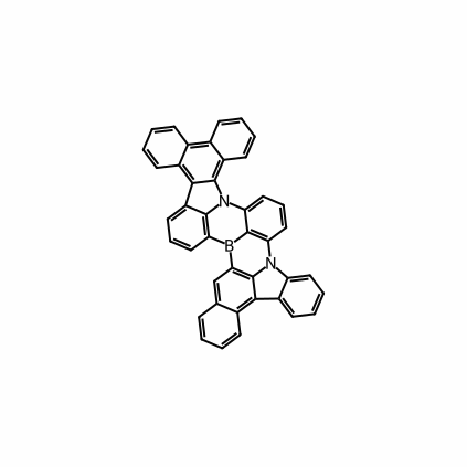 c1cc2c3c(c1)-n1c4c(cccc4c4c5ccccc5c5ccccc5c41)B3c1cc3ccccc3c3c4ccccc4n-2c13